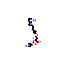 CC1(OC(=O)NC(CCOC2CC(CCc3ccc4c(n3)NCCC4)C2)C(=O)O)CNC1